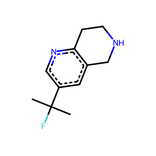 CC(C)(F)c1cnc2c(c1)CNCC2